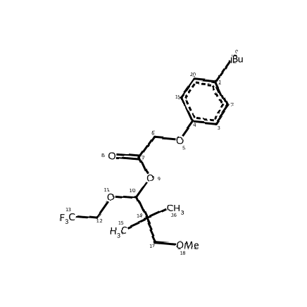 CCC(C)c1ccc(OCC(=O)OC(OCC(F)(F)F)C(C)(C)COC)cc1